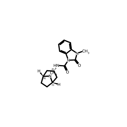 CN1[C@@H]2CC[C@H]1C[C@@H](NC(=O)n1c(=O)n(C)c3ccccc31)C2